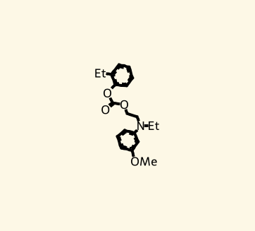 CCc1ccccc1OC(=O)OCCN(CC)c1cccc(OC)c1